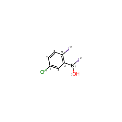 OB(I)c1cc(Cl)ccc1I